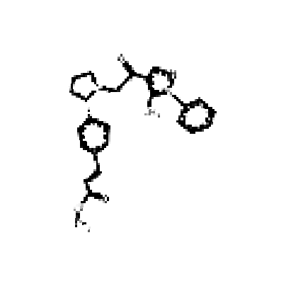 COC(=O)/C=C/c1ccc([C@@H]2CCCN2CC(=O)c2cnn(-c3ccccc3)c2C)cc1